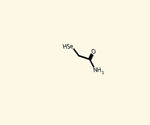 NC(=O)C[SeH]